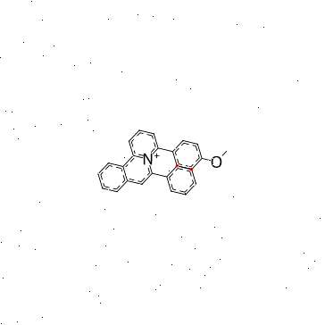 COc1ccc(-c2cccc3c4ccccc4cc(-c4ccccc4)[n+]23)cc1